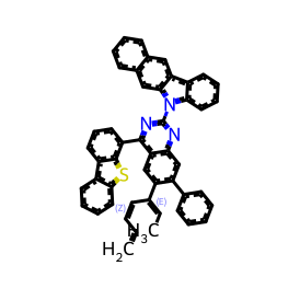 C=C/C=C\C(=C/C)c1cc2c(-c3cccc4c3sc3ccccc34)nc(-n3c4ccccc4c4cc5ccccc5cc43)nc2cc1-c1ccccc1